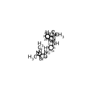 CCn1nc(C)c(Br)c1C(=O)NC[C@H]1CC[C@@H](Nc2nc(N(C)C)c3ccccc3n2)CC1